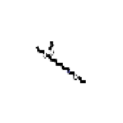 CCCOC/C=C/CCCCCC(OCCC)OCCC